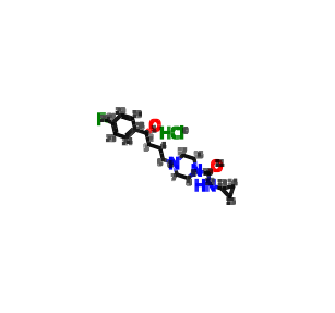 Cl.O=C(CCCN1CCN(C(=O)NC2CC2)CC1)c1ccc(F)cc1